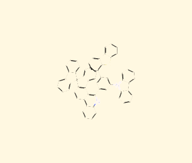 c1ccc2c(c1)-c1ccccc1C21c2ccccc2-c2c1ccc1c2c(-c2cc(-c3cccc4c3sc3ccccc34)cc(-n3c4ccccc4c4ccccc43)c2)nc2ccccc21